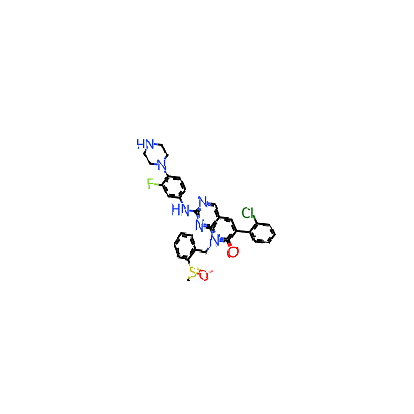 C[S+]([O-])c1ccccc1Cn1c(=O)c(-c2ccccc2Cl)cc2cnc(Nc3ccc(N4CCNCC4)c(F)c3)nc21